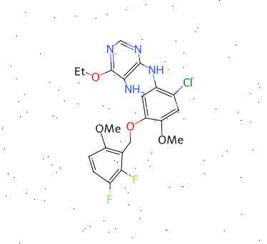 CCOc1ncnc(Nc2cc(OCc3c(OC)ccc(F)c3F)c(OC)cc2Cl)c1N